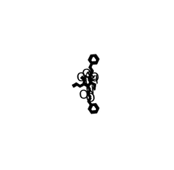 C=CCC1=C2[C@H](CCN2C(=O)OCc2ccccc2)N(S(=O)(=O)CCc2ccccc2)C1=O